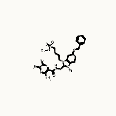 CCOP(=O)([O-])CCCCn1c(CNC(=O)c2nc(Br)c(N)nc2N)[n+](CC)c2ccc(OCc3ccccc3)cc21